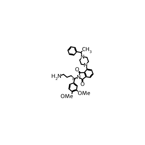 COc1ccc([C@@H](CCCN)N2C(=O)c3cccc(N4CCN(C(C)c5ccccc5)CC4)c3C2=O)cc1OC